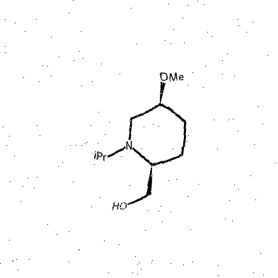 CO[C@H]1CC[C@@H](CO)N(C(C)C)C1